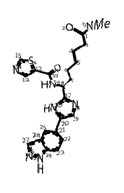 CNC(=O)CCCCC[C@H](NC(=O)c1cncs1)c1ncc(-c2ccc3[nH]ncc3c2)[nH]1